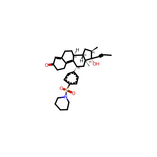 CC#C[C@]1(O)[C@H](C)C[C@H]2[C@@H]3CCC4=CC(=O)CCC4=C3[C@@H](c3ccc(S(=O)(=O)N4CCCCC4)cc3)C[C@@]21C